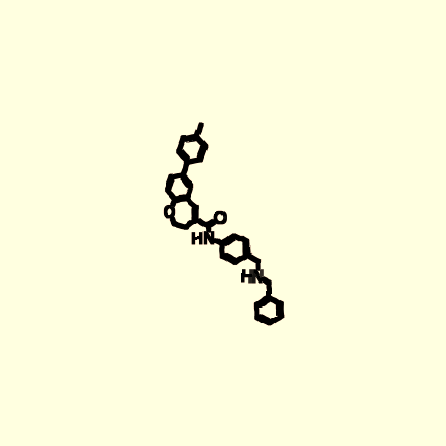 Cc1ccc(-c2ccc3c(c2)C=C(C(=O)Nc2ccc(CNCc4ccccc4)cc2)CCO3)cc1